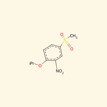 CC(C)Oc1ccc(S(C)(=O)=O)cc1[N+](=O)[O-]